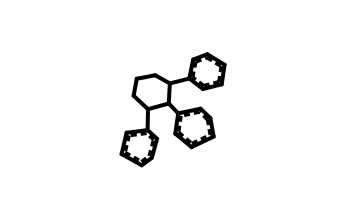 c1ccc(C2CCCC(c3ccccc3)C2c2ccccc2)cc1